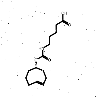 O=C(O)CCCCNC(=O)O[C@H]1CC/C=C/CCC1